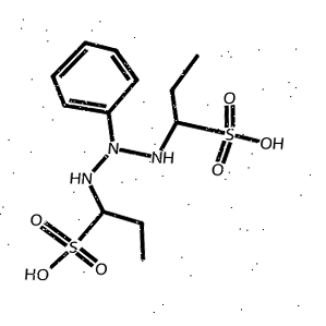 CCC(NN(NC(CC)S(=O)(=O)O)c1ccccc1)S(=O)(=O)O